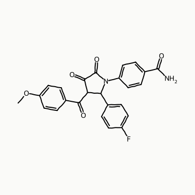 COc1ccc(C(=O)C2C(=O)C(=O)N(c3ccc(C(N)=O)cc3)C2c2ccc(F)cc2)cc1